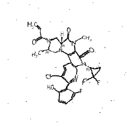 C=CC(=O)N1C[C@@H]2C(=O)N(C)c3c(c4cc(Cl)c(-c5c(O)cccc5F)nc4n([C@@H]4CC4(F)F)c3=O)N2C[C@H]1C